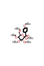 CCCCOC[C@H]1O[C@@](OCCCC)(C(=O)c2ccc(OCCCC)cc2)[C@H](OCCCC)[C@@H](OCCCC)[C@@H]1OCCCC